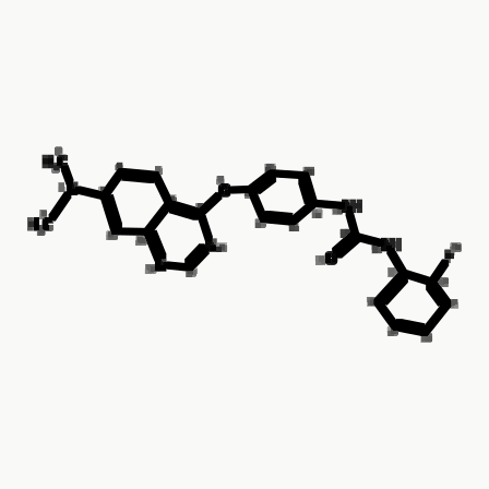 CN(C)c1ccc2c(Oc3ccc(NC(=O)Nc4ccccc4F)cc3)ncnc2c1